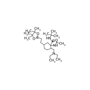 CCN(CC)CC1CCC(CCB2OC(C)(C)C(C)(C)O2)CC1(NC(C)=O)C(=O)NC(C)(C)C